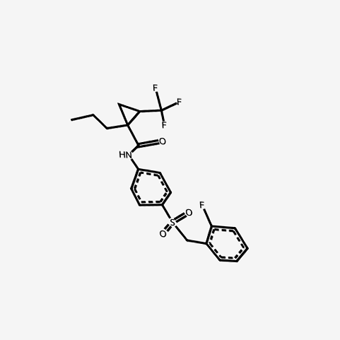 CCCC1(C(=O)Nc2ccc(S(=O)(=O)Cc3ccccc3F)cc2)CC1C(F)(F)F